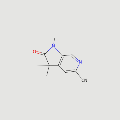 CN1C(=O)C(C)(C)c2cc(C#N)ncc21